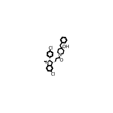 CN1c2ccc(Cl)cc2[C@@H](CCC(=O)N2CCC(O)(Cc3ccccc3)CC2)[C@H]1c1ccc(Cl)cc1